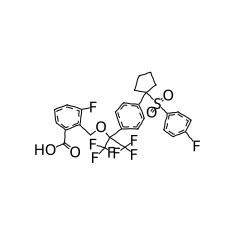 O=C(O)c1cccc(F)c1COC(c1ccc(C2(S(=O)(=O)c3ccc(F)cc3)CCCC2)cc1)(C(F)(F)F)C(F)(F)F